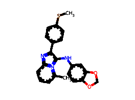 CSc1ccc(-c2nc3cccc(C)n3c2Nc2ccc3c(c2)OCO3)cc1